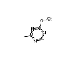 CCOc1n[c]nc(C)n1